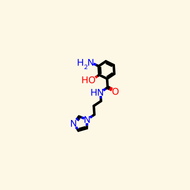 Nc1cccc(C(=O)NCCCn2ccnc2)c1O